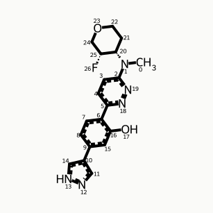 CN(c1ccc(-c2ccc(-c3cn[nH]c3)cc2O)nn1)[C@H]1CCOC[C@H]1F